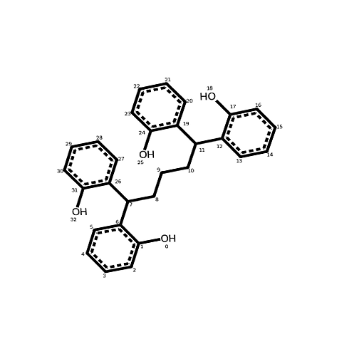 Oc1ccccc1C(CCCC(c1ccccc1O)c1ccccc1O)c1ccccc1O